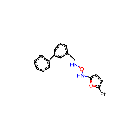 CCc1ccc(NONCc2cccc(-c3ccccc3)c2)o1